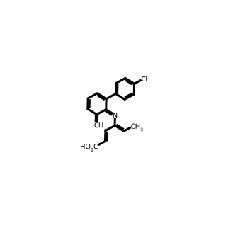 C=C1C=CC=C(c2ccc(Cl)cc2)/C1=N/C(=C\C)/C=C/C(=O)O